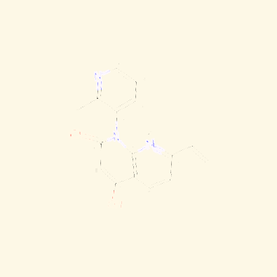 C=Cc1ccc2c(O)cc(=O)n(-c3cccnc3C)c2n1